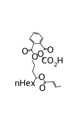 CC=CC(=O)OC(CCCCCC)CCCOC(=O)c1ccccc1C(=O)OC(=O)O